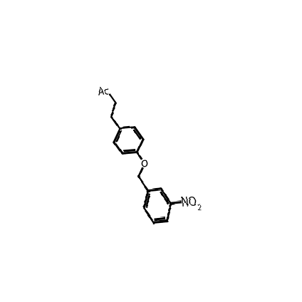 CC(=O)CCc1ccc(OCc2cccc([N+](=O)[O-])c2)cc1